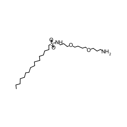 CCCCCCCCCCCCCCCCS(=O)(=O)NCCCOCCCCOCCCN